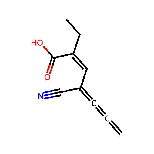 C=C=C=C(C#N)C=C(CC)C(=O)O